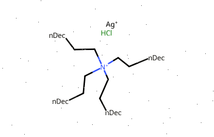 CCCCCCCCCCCC[N+](CCCCCCCCCCCC)(CCCCCCCCCCCC)CCCCCCCCCCCC.Cl.[Ag+]